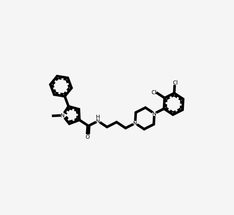 Cn1cc(C(=O)NCCCN2CCN(c3cccc(Cl)c3Cl)CC2)cc1-c1ccccc1